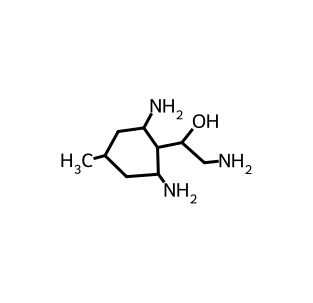 CC1CC(N)C(C(O)CN)C(N)C1